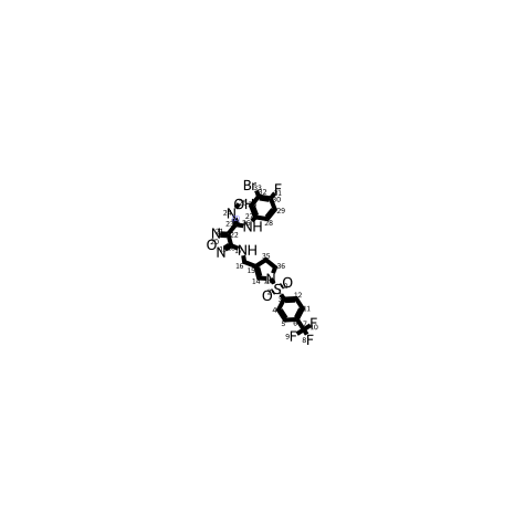 O=S(=O)(c1ccc(C(F)(F)F)cc1)N1C=C(CNc2nonc2/C(=N/O)Nc2ccc(F)c(Br)c2)CC1